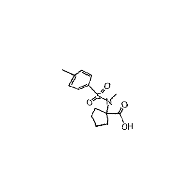 Cc1ccc(S(=O)(=O)N(C)C2(C(=O)O)CCCC2)cc1